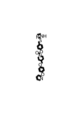 O=C(Oc1ccc(CSc2ncc[nH]2)cc1)N1CCC(COc2ccc(Oc3ccccn3)cc2)CC1